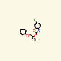 O=C(O)C(COc1ccccc1)Oc1nc2ccc(Cl)cc2o1